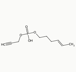 C#CCOP(=O)(O)OCCCC=CC